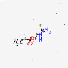 C=CC(=O)OCCNC(N)=S